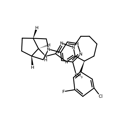 Cc1cc(N2C[C@H]3CC[C@@H](C2)[C@@H]3Nc2nc3n(n2)CCCC[C@H]3c2cc(F)cc(Cl)c2)cnn1